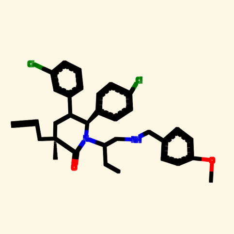 C=CC[C@@]1(C)CC(c2cccc(Cl)c2)[C@@H](c2ccc(Cl)cc2)N(C(CC)CNCc2ccc(OC)cc2)C1=O